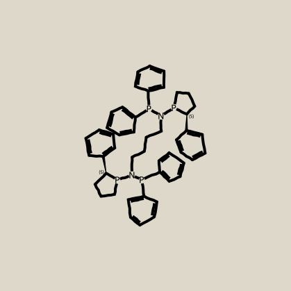 c1ccc([C@@H]2CCCP2N(CCCCN(P(c2ccccc2)c2ccccc2)P2CCC[C@H]2c2ccccc2)P(c2ccccc2)c2ccccc2)cc1